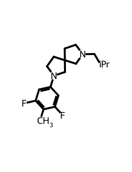 Cc1c(F)cc(N2CCC3(CCN(CC(C)C)C3)C2)cc1F